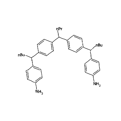 CCCCC(c1ccc(N)cc1)c1ccc(C(CCC)c2ccc(C(CCCC)c3ccc(N)cc3)cc2)cc1